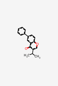 CC(C)c1coc2ccc(-c3ccccc3)cc2c1=O